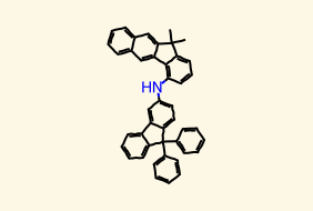 CC1(C)c2cc3ccccc3cc2-c2c(Nc3ccc4c(c3)-c3ccccc3C4(c3ccccc3)c3ccccc3)cccc21